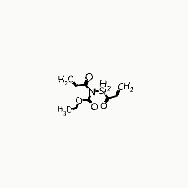 C=CC(=O)[SiH2]N(C(=O)C=C)C(=O)OCC